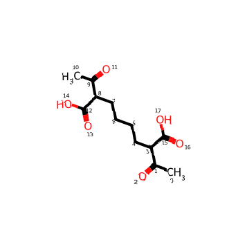 CC(=O)C(CCCCC(C(C)=O)C(=O)O)C(=O)O